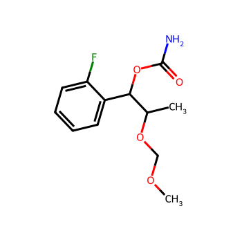 COCOC(C)C(OC(N)=O)c1ccccc1F